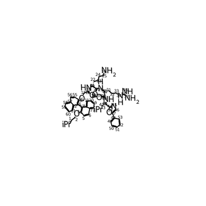 CC(C)CCOc1ccc2ccccc2c1-c1c(OCC(=O)N[C@H](CCCCN)C(=O)N[C@H](CCCNC(=N)N)C(=O)N[C@@H](CC(C)C)c2ncc(-c3ccccc3)o2)ccc2ccccc12